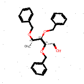 O=C[C@H](OCc1ccccc1)[C@@H](OCc1ccccc1)[C@H](CO)OCc1ccccc1